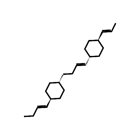 CC=C[C@H]1CC[C@H](C=CCC[C@H]2CC[C@H](C=CCC)CC2)CC1